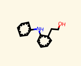 OCCc1ccccc1Nc1ccccc1